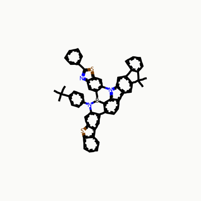 CC(C)(C)c1ccc(N2B3c4cc5nc(-c6ccccc6)sc5cc4-n4c5cc6c(cc5c5ccc(c3c54)-c3cc4c(cc32)sc2ccccc24)C(C)(C)c2ccccc2-6)cc1